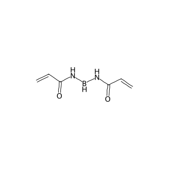 C=CC(=O)NBNC(=O)C=C